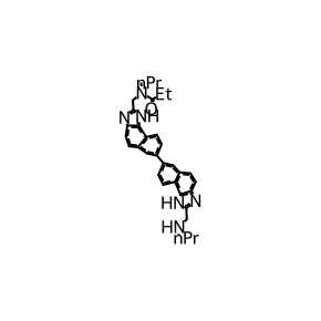 CCCNCc1nc2ccc3cc(-c4ccc5c(ccc6nc(CN(CCC)C(=O)CC)[nH]c65)c4)ccc3c2[nH]1